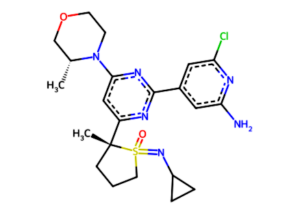 C[C@@H]1COCCN1c1cc([C@@]2(C)CCCS2(=O)=NC2CC2)nc(-c2cc(N)nc(Cl)c2)n1